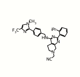 CC(C)c1ccccc1-c1nc2c(c(NCc3ccc(-c4nc(C(F)(F)F)cn4C)cc3)n1)CCN(CC#N)C2